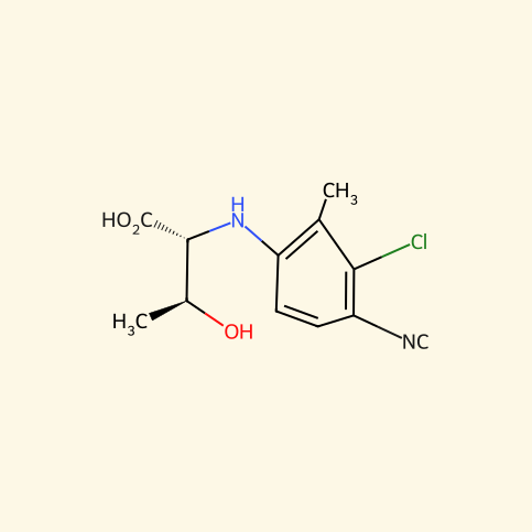 [C-]#[N+]c1ccc(N[C@@H](C(=O)O)[C@H](C)O)c(C)c1Cl